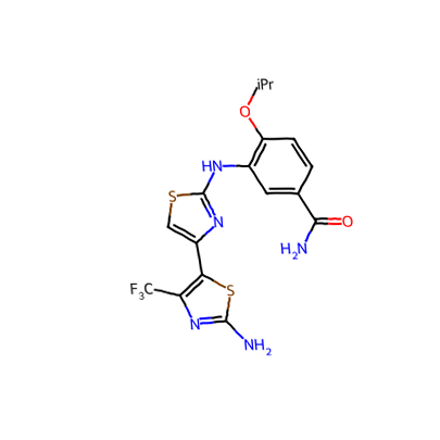 CC(C)Oc1ccc(C(N)=O)cc1Nc1nc(-c2sc(N)nc2C(F)(F)F)cs1